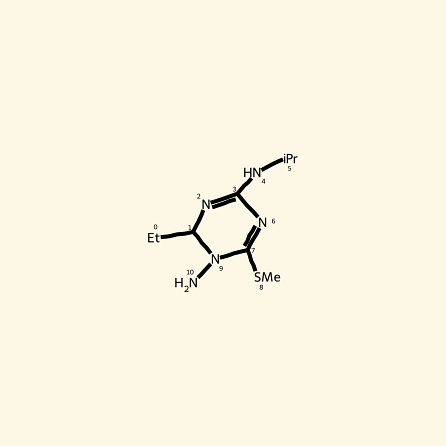 CCC1N=C(NC(C)C)N=C(SC)N1N